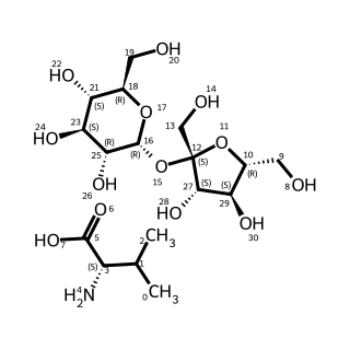 CC(C)[C@H](N)C(=O)O.OC[C@H]1O[C@@](CO)(O[C@H]2O[C@H](CO)[C@@H](O)[C@H](O)[C@H]2O)[C@@H](O)[C@@H]1O